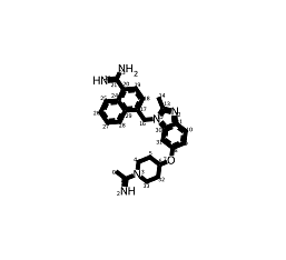 CC(=N)N1CCC(Oc2ccc3nc(C)n(Cc4ccc(C(=N)N)c5ccccc45)c3c2)CC1